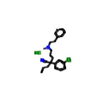 C=CCC(C#N)(CCCN(C)CCc1ccccc1)c1cccc(Cl)c1.Cl